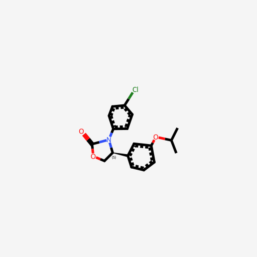 CC(C)Oc1cccc([C@H]2COC(=O)N2c2ccc(Cl)cc2)c1